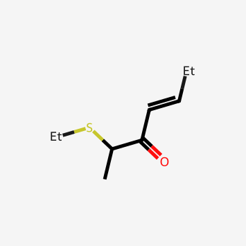 CCC=CC(=O)C(C)SCC